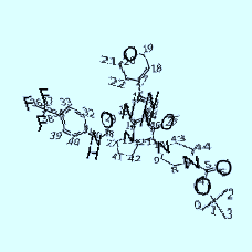 CC(C)(C)OC(=O)N1CCN(c2c3n(c4nc(C5=CCOCC5)nn4c2=O)[C@@H](C(=O)Nc2ccc(C(F)(F)F)cc2)CC3)CC1